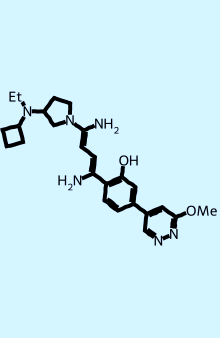 CCN(C1CCC1)C1CCN(/C(N)=C/C=C(\N)c2ccc(-c3cnnc(OC)c3)cc2O)C1